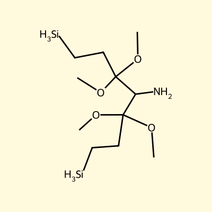 COC(CC[SiH3])(OC)C(N)C(CC[SiH3])(OC)OC